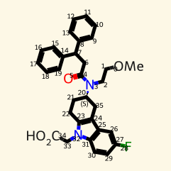 COCCN(C(=O)CC(c1ccccc1)c1ccccc1)[C@H]1CCc2c(c3cc(F)ccc3n2CC(=O)O)C1